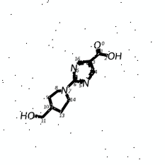 O=C(O)c1cnc(N2CCC(CO)CC2)nc1